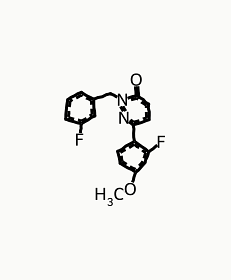 COc1ccc(-c2ccc(=O)n(Cc3cccc(F)c3)n2)c(F)c1